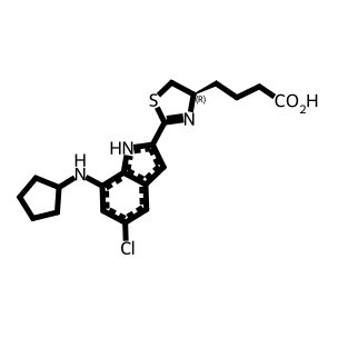 O=C(O)CCC[C@@H]1CSC(c2cc3cc(Cl)cc(NC4CCCC4)c3[nH]2)=N1